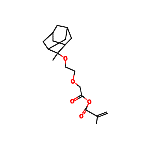 C=C(C)C(=O)OC(=O)COCCOC1(C)C2CC3CC(C2)CC1C3